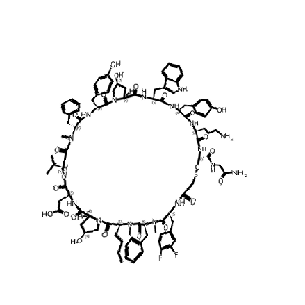 CCCC[C@H]1C(=O)N2C[C@@H](O)C[C@@H]2C(=O)N[C@@H](CC(=O)O)C(=O)N[C@@H](C(C)C)C(=O)N(C)[C@H](Cc2ccccc2)C(=O)N[C@@H](Cc2ccc(O)cc2)C(=O)N2C[C@@H](O)C[C@@H]2C(=O)N[C@@H](Cc2c[nH]c3ccccc23)C(=O)N[C@@H](Cc2ccc(O)cc2)C(=O)N[C@@H](CCCN)C(=O)N[C@H](C(=O)NCC(N)=O)CSCC(=O)N[C@@H](Cc2ccc(F)c(F)c2)C(=O)N(C)[C@@H](Cc2ccccc2)C(=O)N1C